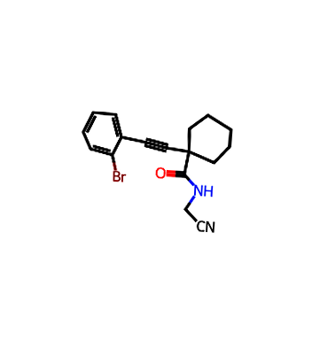 N#CCNC(=O)C1(C#Cc2ccccc2Br)CCCCC1